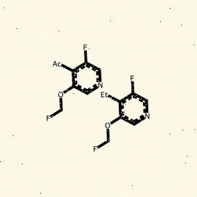 CC(=O)c1c(F)cncc1OCF.CCc1c(F)cncc1OCF